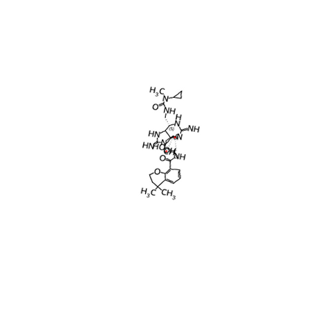 CN(C(=O)NC[C@@H]1NC(=N)N2C[C@H](NC(=O)c3cccc4c3OCCC4(C)C)[C@](C)(O)C23C1NC(=N)N3O)C1CC1